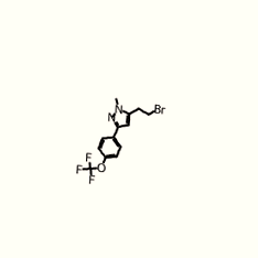 Cn1nc(-c2ccc(OC(F)(F)F)cc2)cc1CCBr